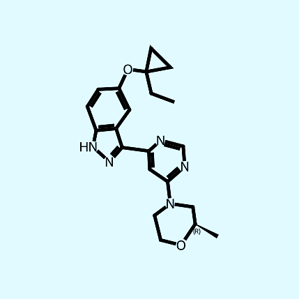 CCC1(Oc2ccc3[nH]nc(-c4cc(N5CCO[C@H](C)C5)ncn4)c3c2)CC1